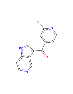 O=C(c1ccnc(Cl)c1)c1c[nH]c2ccncc12